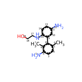 Cc1ccc(N)c(C)c1-c1cc(N)ccc1NCCO